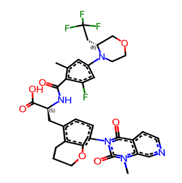 Cc1cc(N2CCOC[C@H]2CC(F)(F)F)cc(F)c1C(=O)N[C@@H](Cc1ccc(-n2c(=O)c3ccncc3n(C)c2=O)c2c1CCCO2)C(=O)O